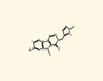 Cn1ccc(Cn2ncc3c4ccc(Br)cc4n(C)c3c2=O)n1